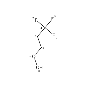 OOCCC(F)(F)F